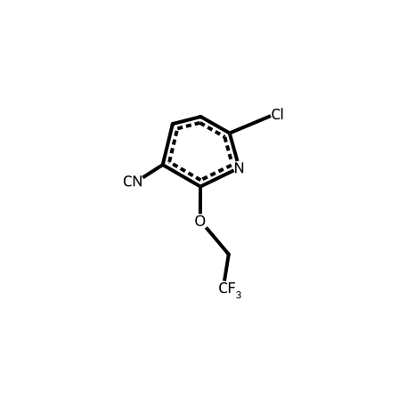 [C-]#[N+]c1ccc(Cl)nc1OCC(F)(F)F